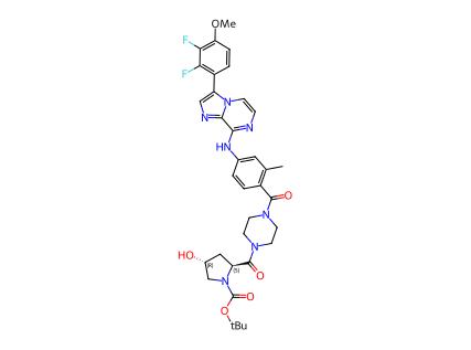 COc1ccc(-c2cnc3c(Nc4ccc(C(=O)N5CCN(C(=O)[C@@H]6C[C@@H](O)CN6C(=O)OC(C)(C)C)CC5)c(C)c4)nccn23)c(F)c1F